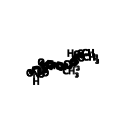 CC(C)(C)OC(=O)N1CCC(CC(C)(C)N2CCN(c3ccc4c(c3)C(=O)N(C3CCC(=O)NC3=O)C4=O)CC2)CC1